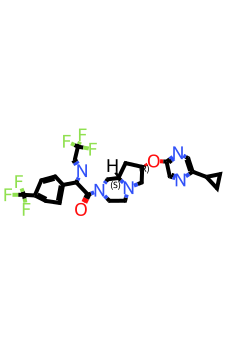 O=C(C(N=CC(F)(F)F)c1ccc(C(F)(F)F)cc1)N1CCN2C[C@H](Oc3cnc(C4CC4)cn3)C[C@H]2C1